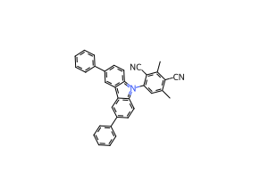 Cc1cc(-n2c3ccc(-c4ccccc4)cc3c3cc(-c4ccccc4)ccc32)c(C#N)c(C)c1C#N